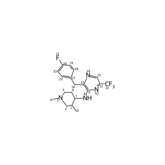 CC1CN(C)CCC1Nc1nc(C(F)(F)F)cnc1Cc1ccc(F)cc1